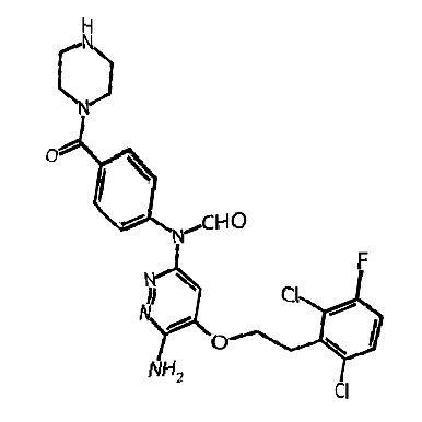 Nc1nnc(N(C=O)c2ccc(C(=O)N3CCNCC3)cc2)cc1OCCc1c(Cl)ccc(F)c1Cl